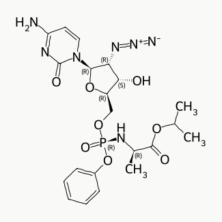 CC(C)OC(=O)[C@@H](C)N[P@@](=O)(OC[C@H]1O[C@@H](n2ccc(N)nc2=O)[C@H](N=[N+]=[N-])[C@@H]1O)Oc1ccccc1